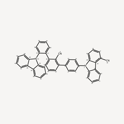 N#Cc1c(-c2ccc(-n3c4ccccc4c4c(C#N)cccc43)cc2)cccc1-c1ccccc1-n1c2ccccc2c2ccccc21